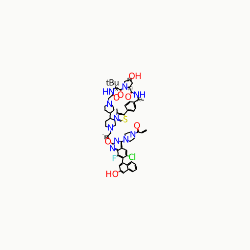 C=CC(=O)N1CCN(c2nc(O[C@H](C)CN3CCC(C4CCN(CC(=O)N[C@H](C(=O)N5C[C@H](O)C[C@H]5C(=O)N[C@@H](C)c5ccc(-c6scnc6C)cc5)C(C)(C)C)CC4)CC3)nc3c(F)c(-c4cc(O)cc5ccccc45)c(Cl)cc23)CC1